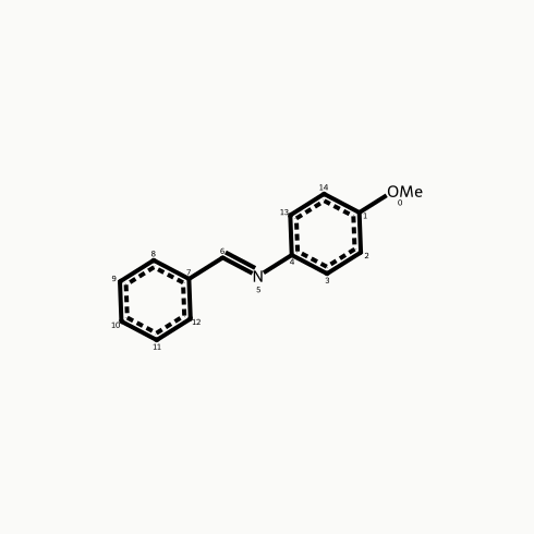 COc1ccc(/N=C/c2ccccc2)cc1